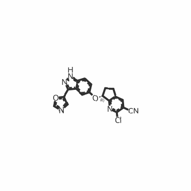 N#Cc1cc2c(nc1Cl)[C@H](Oc1ccc3[nH]nc(-c4cnco4)c3c1)CC2